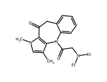 CCN(CC)CC(=O)N1c2ccccc2CC(=O)c2c1c(C)cn2C